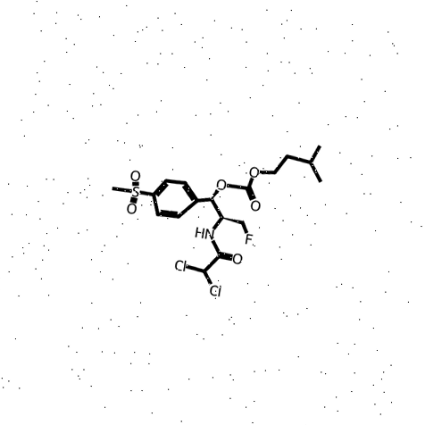 CC(C)CCOC(=O)O[C@H](c1ccc(S(C)(=O)=O)cc1)[C@@H](CF)NC(=O)C(Cl)Cl